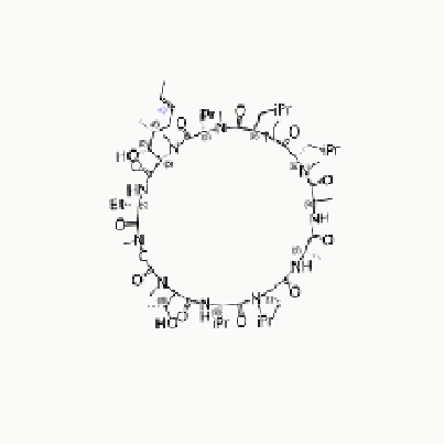 C/C=C/C[C@@H](C)[C@@H](O)[C@H]1C(=O)N[C@@H](CC)C(=O)N(C)CC(=O)N(C)C([C@@H](C)O)C(=O)N[C@@H](C(C)C)C(=O)N(C)[C@@H](CC(C)C)C(=O)N[C@@H](C)C(=O)N[C@H](C)C(=O)N(C)[C@@H](CC(C)C)C(=O)N(C)[C@H](CC(C)C)C(=O)N(C)[C@@H](C(C)C)C(=O)N1C